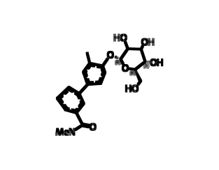 CNC(=O)c1cccc(-c2ccc(O[C@H]3O[C@H](CO)[C@@H](O)C(O)C3O)c(C)c2)c1